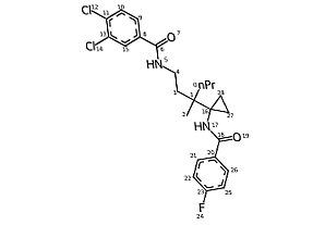 CCCC(C)(CCNC(=O)c1ccc(Cl)c(Cl)c1)C1(NC(=O)c2ccc(F)cc2)CC1